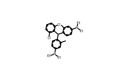 CCN(CC)c1ccc(C(c2ccc(N(CC)CC)cc2C)c2c(Cl)cccc2Cl)c(C)c1